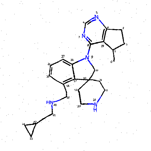 CC1CCc2ncnc(N3CC4(CCNCC4)c4c(CNCC5CC5)cccc43)c21